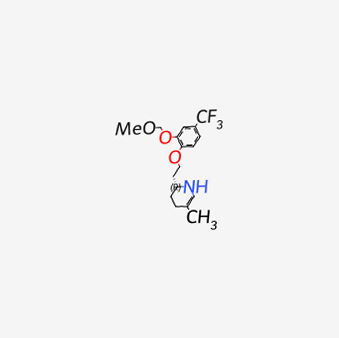 COCOc1cc(C(F)(F)F)ccc1OCC[C@H]1CCC(C)=CN1